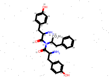 NC(Cc1ccc(O)cc1)C(=O)N(C(=O)C(N)Cc1ccc(O)cc1)C(Cc1ccccc1)C(=O)O